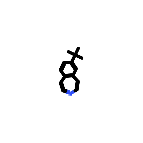 CC(C)(C)c1ccc2c(c1)C=CN=C=C2